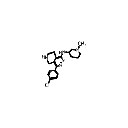 CN1CCCC(Nc2nnc(-c3ccc(Cl)cc3)c3c2CCNC3)C1